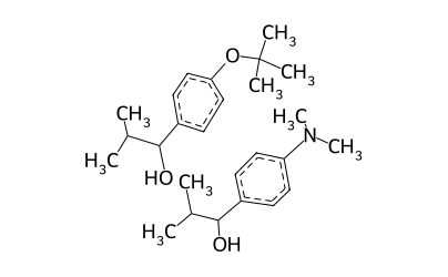 CC(C)C(O)c1ccc(N(C)C)cc1.CC(C)C(O)c1ccc(OC(C)(C)C)cc1